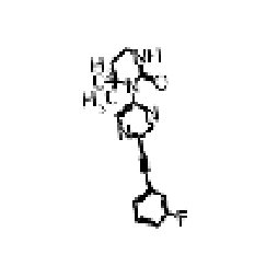 CC1(C)CCNC(=O)N1c1cnc(C#Cc2cccc(F)c2)cn1